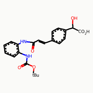 CC(C)(C)OC(=O)Nc1ccccc1NC(=O)/C=C/c1ccc(C(O)C(=O)O)cc1